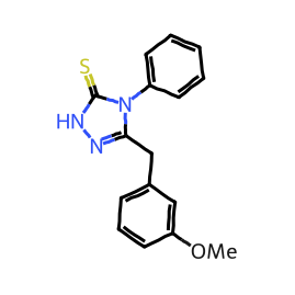 COc1cccc(Cc2n[nH]c(=S)n2-c2ccccc2)c1